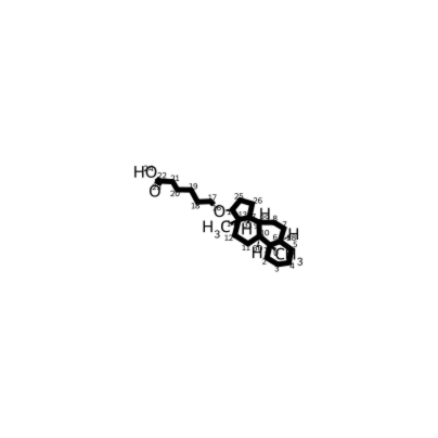 C[C@]12CCCC[C@@H]1CC[C@@H]1[C@@H]2CC[C@]2(C)[C@H](OCCCCCC(=O)O)CC[C@@H]12